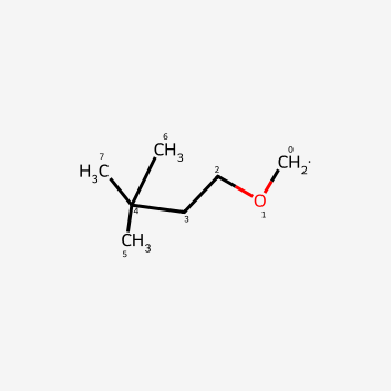 [CH2]OCCC(C)(C)C